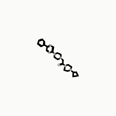 O=C(CN1CCN(c2cnc(-c3ccccc3)cn2)CC1)N1CCN(C2CCC2)CC1